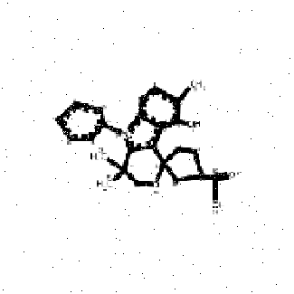 Cc1ccc2c(c1O)c1c(n2-c2ccccc2)C(C)(C)COC12CCC(C(=O)O)C2